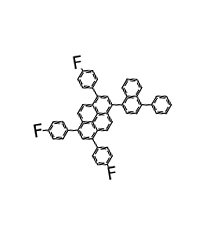 Fc1ccc(-c2cc(-c3ccc(F)cc3)c3ccc4c(-c5ccc(-c6ccccc6)c6ccccc56)cc(-c5ccc(F)cc5)c5ccc2c3c54)cc1